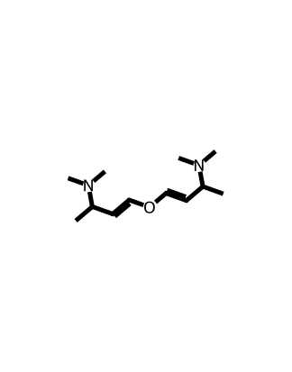 CC(/C=C/O/C=C/C(C)N(C)C)N(C)C